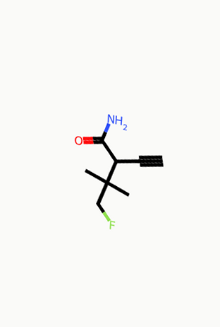 C#CC(C(N)=O)C(C)(C)CF